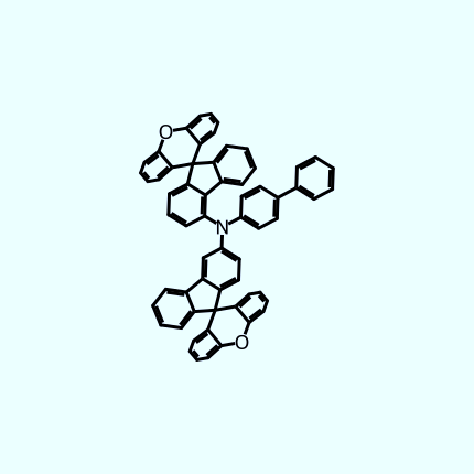 c1ccc(-c2ccc(N(c3ccc4c(c3)-c3ccccc3C43c4ccccc4Oc4ccccc43)c3cccc4c3-c3ccccc3C43c4ccccc4Oc4ccccc43)cc2)cc1